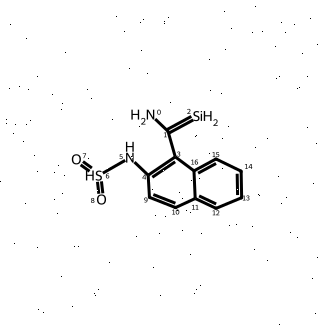 NC(=[SiH2])c1c(N[SH](=O)=O)ccc2ccccc12